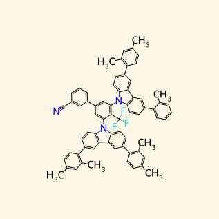 Cc1ccc(-c2ccc3c(c2)c2cc(-c4ccccc4C)ccc2n3-c2cc(-c3cccc(C#N)c3)cc(-n3c4ccc(-c5ccc(C)cc5C)cc4c4cc(-c5ccc(C)cc5C)ccc43)c2C(F)(F)F)c(C)c1